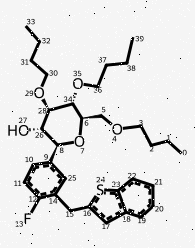 CCCCOC[C@H]1O[C@@H](c2ccc(F)c(Cc3cc4ccccc4s3)c2)[C@H](O)[C@@H](OCCCC)[C@@H]1OCCCC